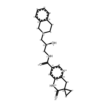 O=C(NC[C@H](O)CN1CCc2ccccc2C1)c1cnc2c(c1)NC(=O)C1(CC1)C2